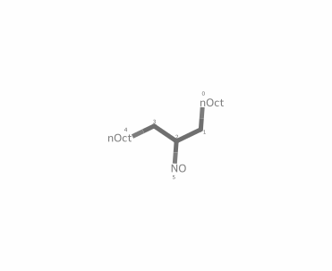 CCCCCCCCCC(CCCCCCCCC)N=O